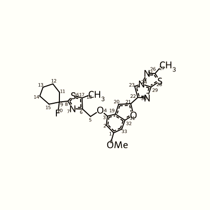 COc1cc(OCc2nc(C3(F)CCCCC3)sc2C)c2cc(-c3cn4nc(C)sc4n3)oc2c1